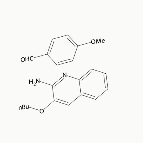 CCCCOc1cc2ccccc2nc1N.COc1ccc(C=O)cc1